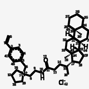 C=Cc1ccc(C[N+]2(CCNC(=O)CCC(C)[C@H]3CC[C@H]4[C@@H]5CCC6CCCC[C@]6(C)[C@H]5CC[C@]34C)CCCC2)cc1.[Cl-]